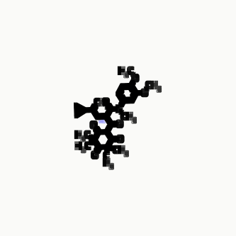 C=C(/C=C(/C(=O)C1C(=O)C(C)(C)C(=O)C(C)(C)C1=O)C(=O)N(C)c1ccc(OC)c(OC)c1)C1CC1